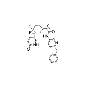 C[C@@H](C(=O)Nc1ccc(Cc2ccccc2)nn1)N1CCC(F)(F)[C@@H](c2ccc(=O)[nH]c2)C1